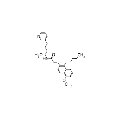 CCCCCc1c(/C=C/C(=O)N[C@H](C)CCCc2cccnc2)ccc2c(OC)cccc12